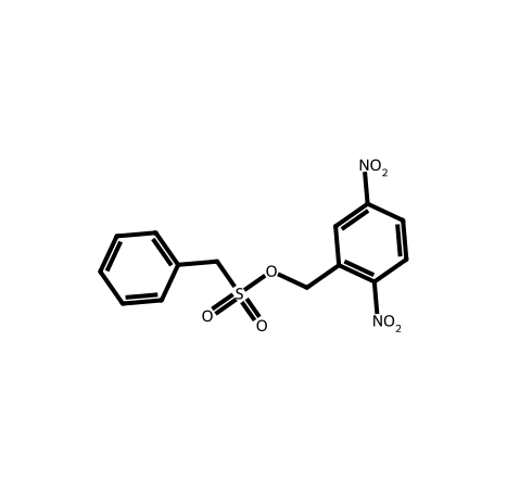 O=[N+]([O-])c1ccc([N+](=O)[O-])c(COS(=O)(=O)Cc2ccccc2)c1